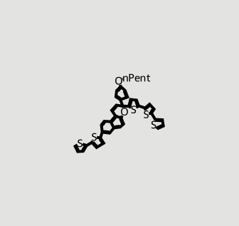 CCCCCOc1ccc(C2(c3ccc(-c4ccc(-c5cccs5)s4)s3)C=Cc3c(ccc4cc(-c5ccc(-c6cccs6)s5)ccc34)O2)cc1